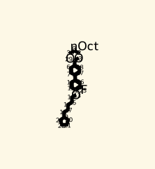 CCCCCCCCC1COC(c2ccc(-c3ccc(OCCCCCC4CCCC4)c(F)c3)cc2)OC1